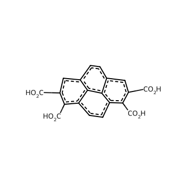 O=C(O)c1cc2ccc3cc(C(=O)O)c(C(=O)O)c4ccc(c1C(=O)O)c2c34